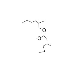 CCCCC(C)COC([O])CC(C)CCC